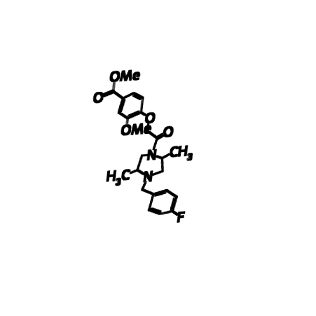 COC(=O)c1ccc(OCC(=O)N2CC(C)N(Cc3ccc(F)cc3)CC2C)c(OC)c1